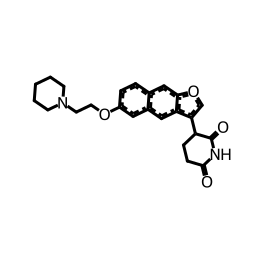 O=C1CCC(c2coc3cc4ccc(OCCN5CCCCC5)cc4cc23)C(=O)N1